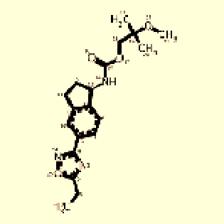 CCc1nc(-c2ccc3c(c2)CC[C@H]3NC(=O)OCC(C)(C)OC)no1